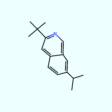 CC(C)c1ccc2cc(C(C)(C)C)ncc2c1